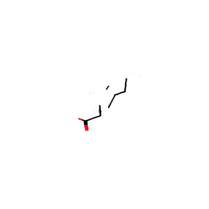 CC(=O)O.CCC(=O)O.O=C(O)CCC(=O)O